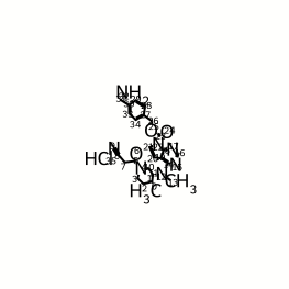 C[C@@H]1CCN(C(=O)CC#N)C[C@@H]1N(C)c1ncnc2c1ccn2C(=O)OCc1ccc(CN)cc1.Cl